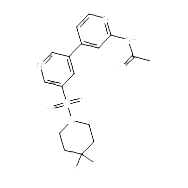 CC(=O)Nc1cc(-c2cncc(S(=O)(=O)N3CCC(F)(F)CC3)c2)ccn1